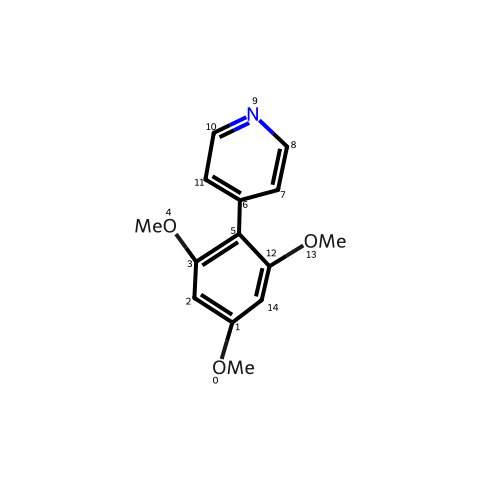 COc1cc(OC)c(-c2ccncc2)c(OC)c1